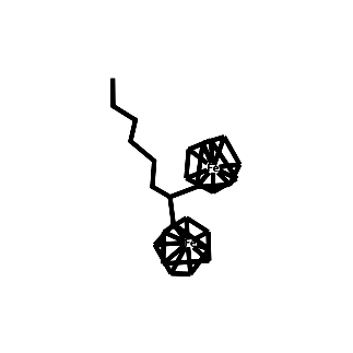 CCCCCCC([C]12[CH]3[CH]4[CH]5[CH]1[Fe]45321678[CH]2[CH]1[CH]6[CH]7[CH]28)[C]12[CH]3[CH]4[CH]5[CH]1[Fe]45321678[CH]2[CH]1[CH]6[CH]7[CH]28